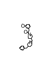 COc1cccc(CC(=O)N2CCC(CN3CCC(Cc4ccccc4)CC3)CC2)c1